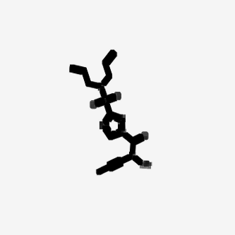 C=CCN(CC=C)S(=O)(=O)c1ncn(C(=O)N(C#CC)CCC)n1